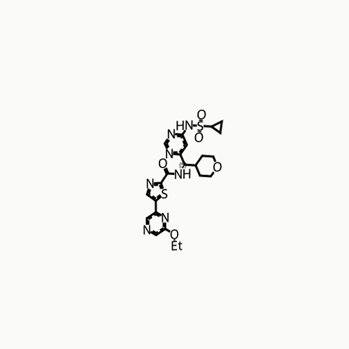 CCOc1cncc(-c2cnc(C(=O)N[C@H](c3cc(NS(=O)(=O)C4CC4)ncn3)C3CCOCC3)s2)n1